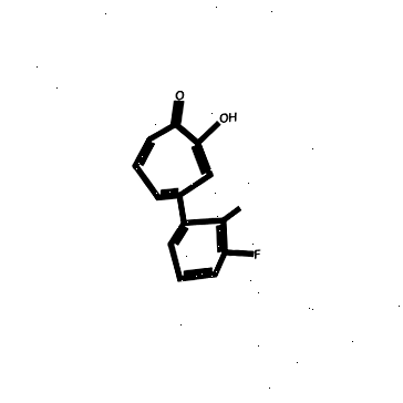 Cc1c(F)cccc1-c1cccc(=O)c(O)c1